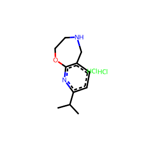 CC(C)c1ccc2c(n1)OCCNC2.Cl.Cl